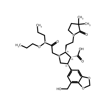 CCCON(CCC)C(=O)CN1C[C@H](c2cc(CO)c3c(c2)OCO3)[C@@H](C(=O)O)[C@@H]1CCN1CCC(C)(C)C1=O